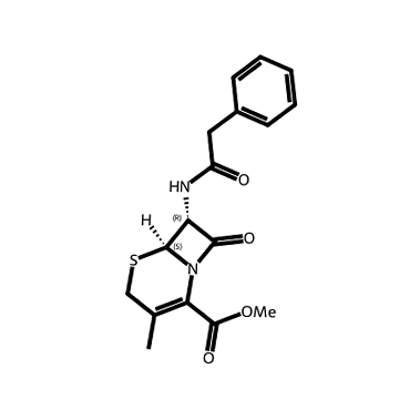 COC(=O)C1=C(C)CS[C@H]2[C@H](NC(=O)Cc3ccccc3)C(=O)N12